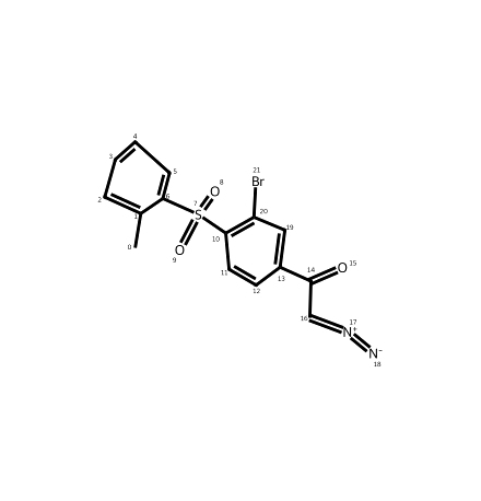 Cc1ccccc1S(=O)(=O)c1ccc(C(=O)C=[N+]=[N-])cc1Br